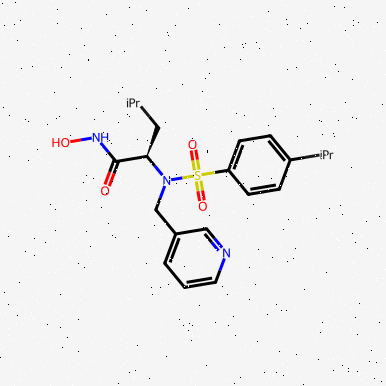 CC(C)C[C@H](C(=O)NO)N(Cc1cccnc1)S(=O)(=O)c1ccc(C(C)C)cc1